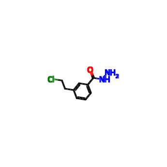 NNC(=O)c1cccc(CCCl)c1